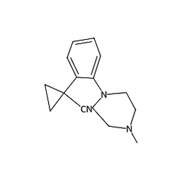 CN1CCN(c2ccccc2C2(C#N)CC2)CC1